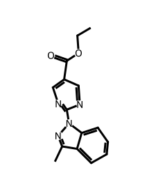 CCOC(=O)c1cnc(-n2nc(C)c3ccccc32)nc1